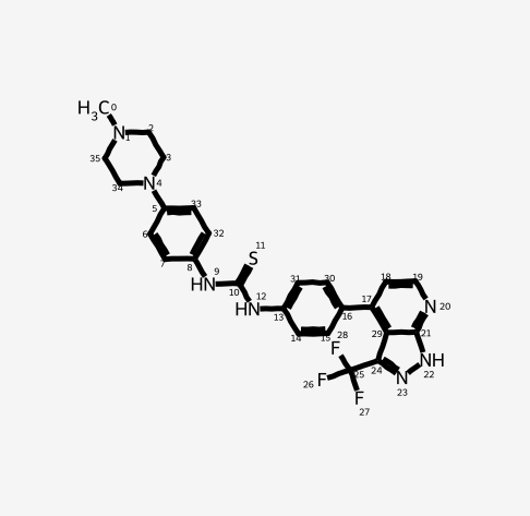 CN1CCN(c2ccc(NC(=S)Nc3ccc(-c4ccnc5[nH]nc(C(F)(F)F)c45)cc3)cc2)CC1